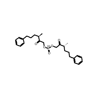 C[C@H](CCCc1ccccc1)C(=O)CO[PH](=O)OCC(=O)[C@H](C)CCCc1ccccc1